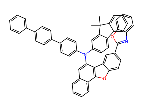 CC1(C)c2ccccc2-c2ccc(N(c3ccc(-c4ccc(-c5ccccc5)cc4)cc3)c3cc4ccccc4c4oc5ccc(-c6nc7ccccc7o6)cc5c34)cc21